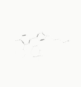 Cc1ncc(-c2cnc(OCCCC(C)C)c(F)c2)c(N2CCC(C)(C)CC2)c1[C@H](OC(C)(C)C)C(=O)O